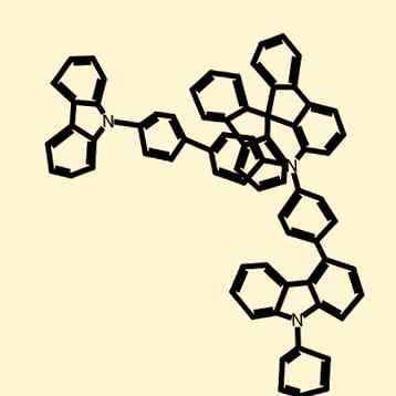 c1ccc(-n2c3ccccc3c3c(-c4ccc(N(c5ccc(-c6ccc(-n7c8ccccc8c8ccccc87)cc6)cc5)c5cccc6c5C5(c7ccccc7-c7ccccc75)c5ccccc5-6)cc4)cccc32)cc1